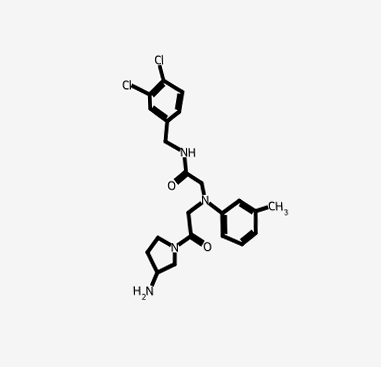 Cc1cccc(N(CC(=O)NCc2ccc(Cl)c(Cl)c2)CC(=O)N2CCC(N)C2)c1